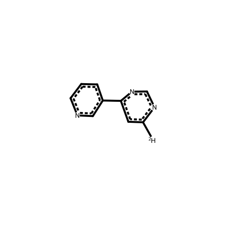 [2H]c1cc(-c2cccnc2)ncn1